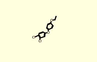 CCOc1ccc(Oc2ccc(Cl)c(Cl)c2)cc1